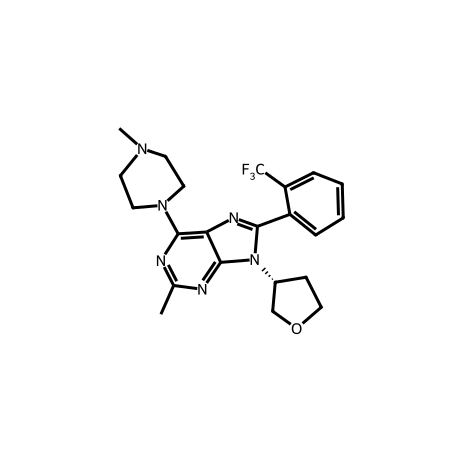 Cc1nc(N2CCN(C)CC2)c2nc(-c3ccccc3C(F)(F)F)n([C@@H]3CCOC3)c2n1